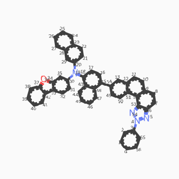 c1ccc(-n2nc3ccc4ccc5cc(-c6ccc(N(c7ccc8ccccc8c7)c7ccc8c(c7)oc7ccccc78)c7ccccc67)ccc5c4c3n2)cc1